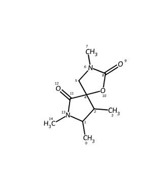 CC1C(C)C2(CN(C)C(=O)O2)C(=O)N1C